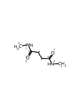 CNC(=O)CCC(=O)NC